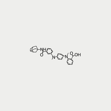 CN(c1ccc(N(C)c2ccccc2C(=O)O)cc1)c1cccc(C(=O)NC23CC4CC(C2)C(C4)C3)c1